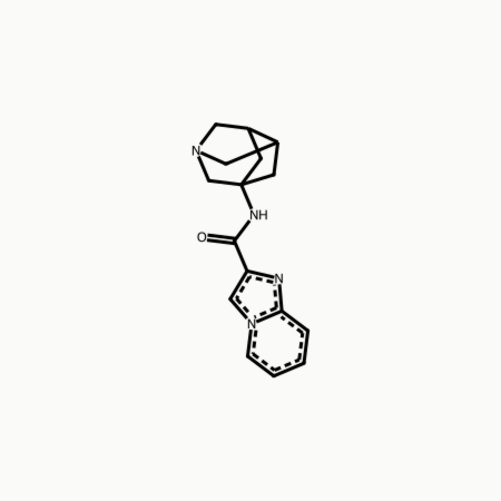 O=C(NC12CC3CN(CC3C1)C2)c1cn2ccccc2n1